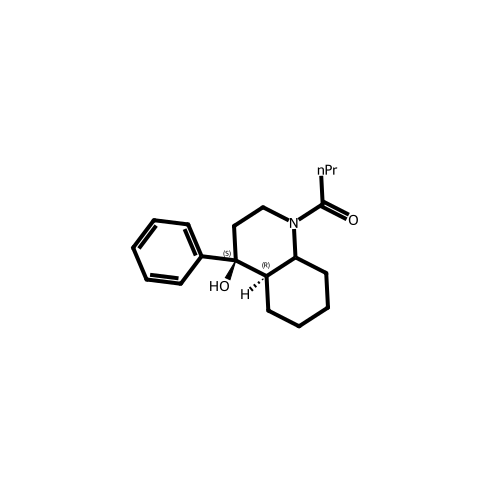 CCCC(=O)N1CC[C@@](O)(c2ccccc2)[C@@H]2CCCCC21